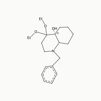 CCOC1(OCC)CCN(Cc2ccccc2)C2CCCC[C@@]21O